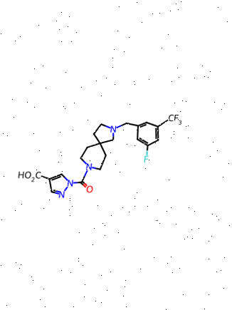 O=C(O)c1cnn(C(=O)N2CCC3(CCN(Cc4cc(F)cc(C(F)(F)F)c4)C3)CC2)c1